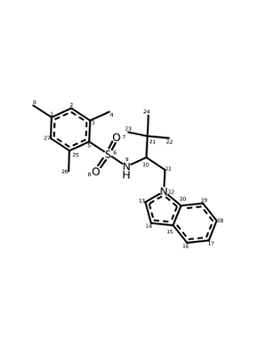 Cc1cc(C)c(S(=O)(=O)NC(Cn2ccc3ccccc32)C(C)(C)C)c(C)c1